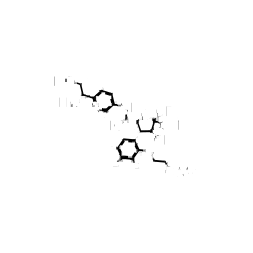 COCCOc1c([C@H]2[C@H](C(O)Nc3ccc([C@@H](O)CO)nc3)O[C@@](C)(C(F)(F)F)[C@H]2C)ccc(F)c1F